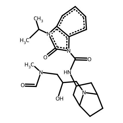 CC(C)n1c(=O)n(C(=O)NC2CC3CCC(C2)N3CC(O)CN(C)C=O)c2ccccc21